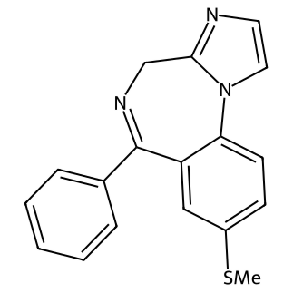 CSc1ccc2c(c1)C(c1ccccc1)=NCc1nccn1-2